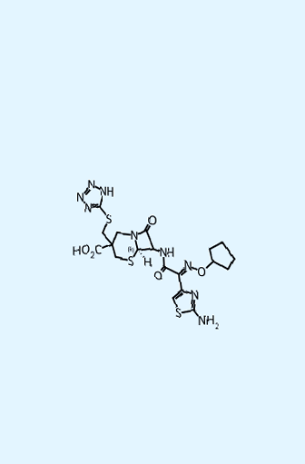 Nc1nc(C(=NOC2CCCC2)C(=O)NC2C(=O)N3CC(CSc4nnn[nH]4)(C(=O)O)CS[C@H]23)cs1